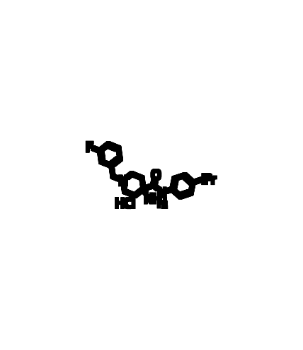 CC(C)c1ccc(NC(=O)C2(N)CCN(Cc3cccc(F)c3)CC2)cc1.Cl